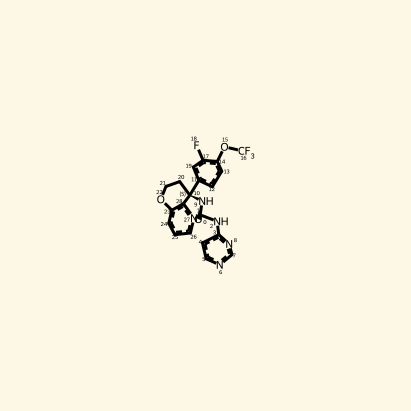 O=C(Nc1ccncn1)N[C@]1(c2ccc(OC(F)(F)F)c(F)c2)CCOc2cccnc21